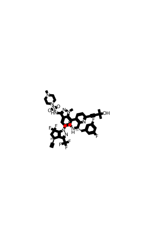 C#C[C@H]1CC(F)(F)c2c1c(C(F)(F)F)nn2CC(=O)N[C@@H](Cc1cc(F)cc(F)c1)c1nc(C#CC(C)(C)O)ccc1-c1cccc2c(NS(=O)(=O)N3CCN(C)CC3)nn(C)c12